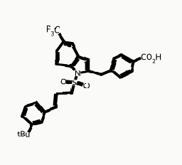 CC(C)(C)c1cccc(C=CCS(=O)(=O)n2c(Cc3ccc(C(=O)O)cc3)cc3cc(C(F)(F)F)ccc32)c1